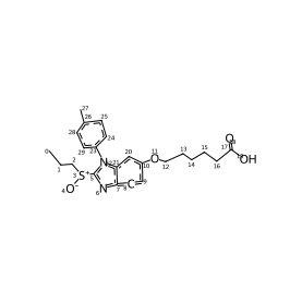 CCC[S+]([O-])c1nc2ccc(OCCCCCC(=O)O)cc2n1-c1ccc(C)cc1